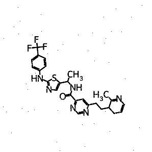 CC1=NC=CCC1CCc1cc(C(=O)NC(C)c2cnc(Nc3ccc(C(F)(F)F)cc3)s2)ncn1